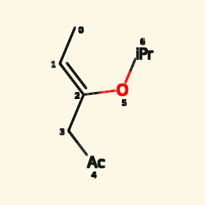 CC=C(CC(C)=O)OC(C)C